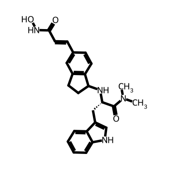 CN(C)C(=O)[C@H](Cc1c[nH]c2ccccc12)NC1CCc2cc(C=CC(=O)NO)ccc21